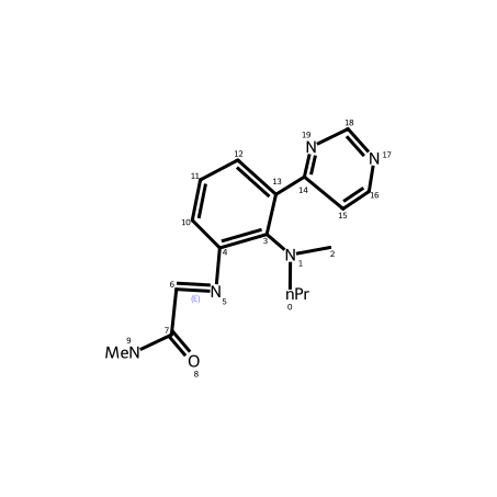 CCCN(C)c1c(/N=C/C(=O)NC)cccc1-c1ccncn1